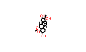 C#C[C@]1(O)[C@H](O)C[C@H]2[C@@H]3CCC4[C@H](OC(C)=O)[C@@H](O)CC[C@]4(C)[C@H]3CC[C@@]21C